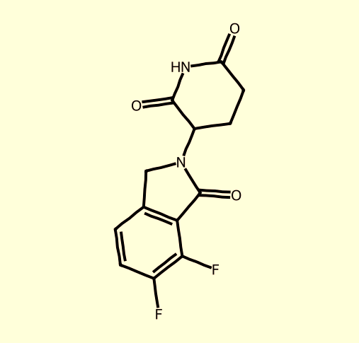 O=C1CCC(N2Cc3ccc(F)c(F)c3C2=O)C(=O)N1